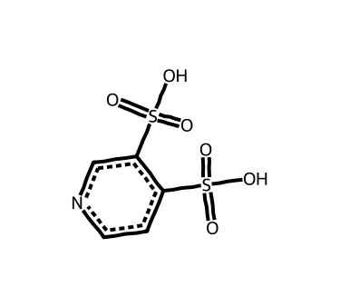 O=S(=O)(O)c1ccncc1S(=O)(=O)O